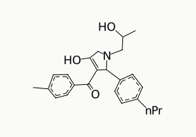 CCCc1ccc(C2C(C(=O)c3ccc(C)cc3)=C(O)CN2CC(C)O)cc1